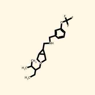 CCC(CN1CC2C(CNCc3cccc(OC(F)(F)F)c3)C2C1)C(C)C